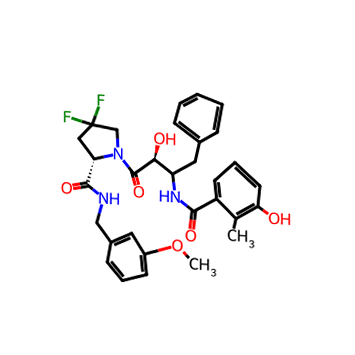 COc1cccc(CNC(=O)[C@@H]2CC(F)(F)CN2C(=O)[C@@H](O)C(Cc2ccccc2)NC(=O)c2cccc(O)c2C)c1